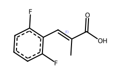 C/C(=C\c1c(F)cccc1F)C(=O)O